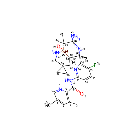 Cc1cc(C#N)cnc1C(=O)Nc1ccc(F)c([C@@]2(C)N=C(N)C(C)(C)[SH]3(=O)NCC4(CC4)C[C@H]23)n1